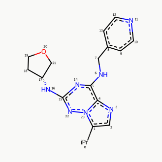 CC(C)c1cnc2c(NCc3ccncc3)nc(N[C@@H]3CCOC3)nn12